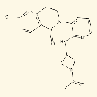 CC(=O)N1CC(Nc2ncccc2N2CCc3cc(Cl)ccc3C2=O)C1